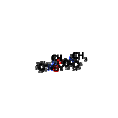 CCN1C(=O)/C(=C\c2ccc3c(c2)c2ccccc2n3CC)O/C1=N/Cc1ccccc1